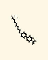 CCCCCCCCCC[C@H]1CC[C@H]([C@H]2CC[C@H](C(F)F)CC2)CC1